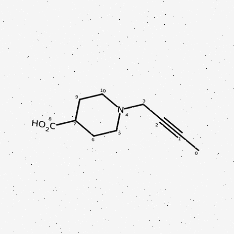 CC#CCN1CCC(C(=O)O)CC1